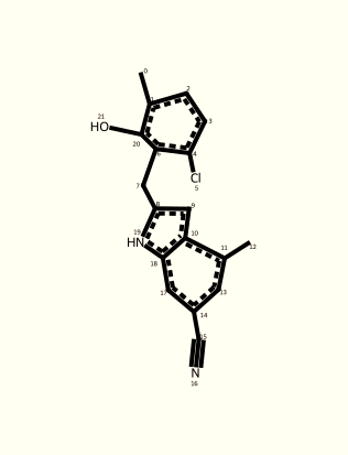 Cc1ccc(Cl)c(Cc2cc3c(C)cc(C#N)cc3[nH]2)c1O